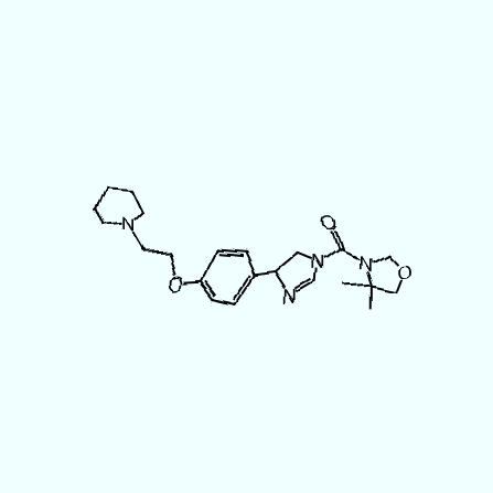 CC1(C)COCN1C(=O)N1C=NC(c2ccc(OCCN3CCCCC3)cc2)C1